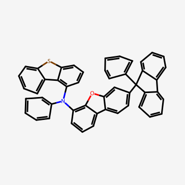 c1ccc(N(c2cccc3c2oc2cc(C4(c5ccccc5)c5ccccc5-c5ccccc54)ccc23)c2cccc3sc4ccccc4c23)cc1